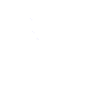 Clc1cccc(COc2ccc3ncc(Br)n3n2)c1